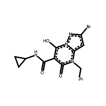 CC(C)Cn1c(=O)c(C(=O)NC2CC2)c(O)n2nc(Br)cc12